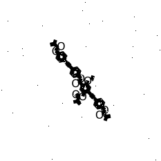 C=C(C)C(=O)Oc1ccc(C#Cc2ccc(OC(=O)c3cc(OC(=O)C(=C)C)c(C#Cc4ccc(OC(=O)C(=C)C)cc4)cc3OCC)cc2)cc1